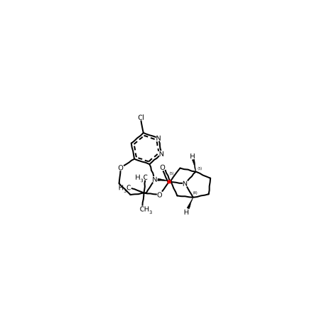 CC(C)(C)OC(=O)N1[C@@H]2CC[C@H]1C[C@H](N1CCCOc3cc(Cl)nnc31)C2